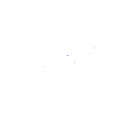 C/N=C\N=C(/C)N[C@H]1CC[C@H](N(C)C)CC1